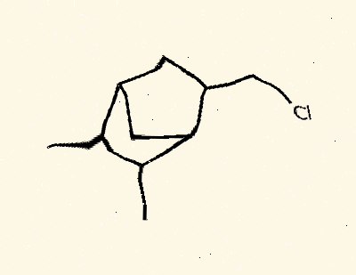 CC1C2CC(CCl)C(C2)C1C